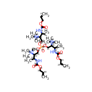 C=CCOC(=O)NC(C)C(COP(=O)(OCC(C(C)NC(=O)OCC=C)[N+](C)(C)C)OCC(C(C)NC(=O)OCC=C)[N+](C)(C)C)[N+](C)(C)C